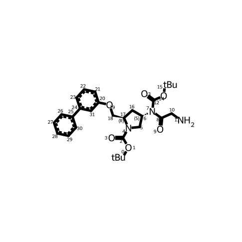 CC(C)(C)OC(=O)N1C[C@@H](N(C(=O)CN)C(=O)OC(C)(C)C)C[C@@H]1COc1cccc(-c2ccccc2)c1